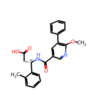 COc1ncc(C(=O)N[C@@H](CC(=O)O)c2ccccc2C)cc1-c1ccccc1